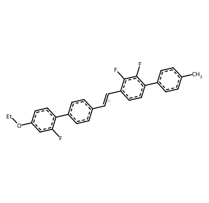 CCOc1ccc(-c2ccc(/C=C/c3ccc(-c4ccc(C)cc4)c(F)c3F)cc2)c(F)c1